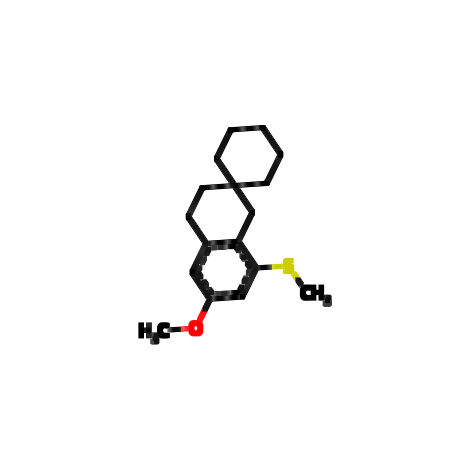 COc1cc2c(c(SC)c1)CC1(CCCCC1)CC2